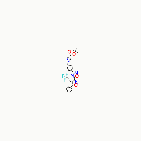 CC(C)(C)OC(=O)C1CN(Cc2ccc(-c3noc(-c4noc(-c5ccccc5)c4CCC(F)(F)F)n3)cc2)C1